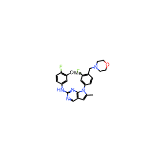 COc1cc(Nc2ncc3cc(C)n(-c4ccc(CN5CCOCC5)c(F)c4)c3n2)ccc1F